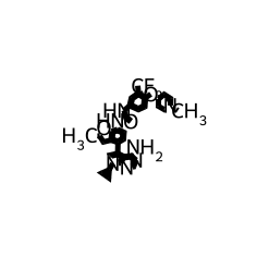 CC1Cc2c(-c3cn(C4CC4)c4ncnc(N)c34)ccc(NC(=O)Nc3ccc(OC4CCN(C)CC4)c(C(F)(F)F)c3)c2O1